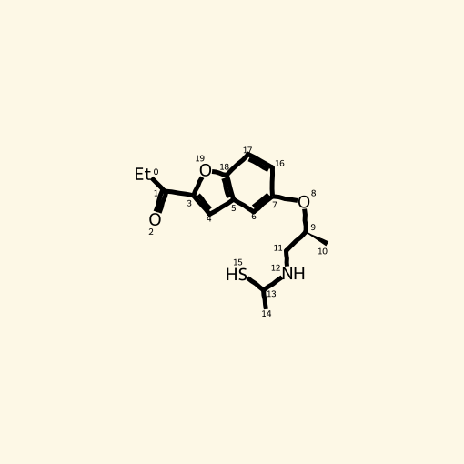 CCC(=O)c1cc2cc(O[C@@H](C)CNC(C)S)ccc2o1